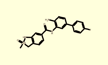 C[SH]1(=O)Cc2ccc(C(=O)Nc3cc(-c4ccc(F)cc4)ccc3N)cc2N1